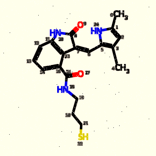 Cc1cc(C)c(C=C2C(=O)Nc3cccc(C(=O)NCCCS)c32)[nH]1